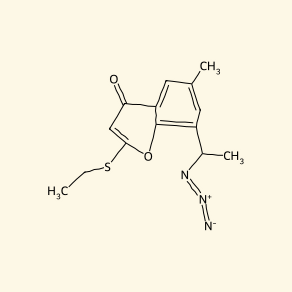 CCSc1cc(=O)c2cc(C)cc(C(C)N=[N+]=[N-])c2o1